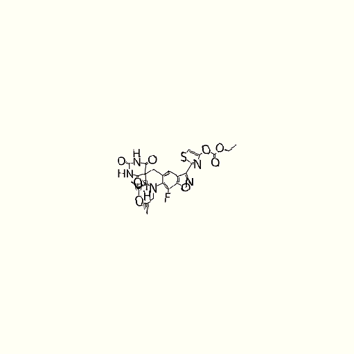 CCOC(=O)Oc1csc(-c2noc3c(F)c4c(cc23)CC2(C(=O)NC(=O)NC2=O)[C@H]2[C@H](C)O[C@H](C)CN42)n1